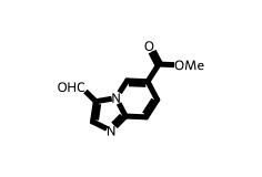 COC(=O)c1ccc2ncc(C=O)n2c1